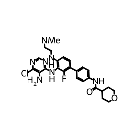 CNCCNc1ccc(-c2ccc(NC(=O)C3CCOCC3)cc2)c(F)c1Nc1ncnc(Cl)c1N